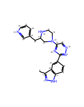 Cc1n[nH]c2ccc(-c3nncc(N4CCNC(Cc5cccnc5)C4)n3)cc12